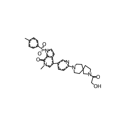 Cc1ccc(S(=O)(=O)n2ccc3c(-c4ccc(N5CCC6(CCN(C(=O)CO)C6)CC5)nc4)cn(C)c(=O)c32)cc1